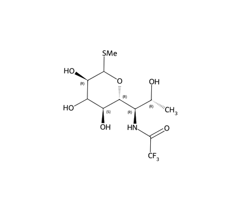 CSC1O[C@H]([C@H](NC(=O)C(F)(F)F)[C@@H](C)O)[C@@H](O)C(O)[C@H]1O